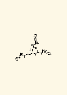 O=C=NCCCC(CCCN=C=O)CCCN=C=O